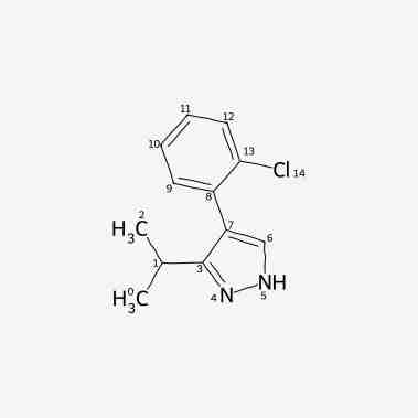 CC(C)c1n[nH]cc1-c1ccccc1Cl